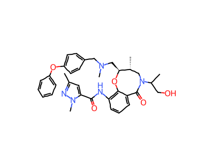 Cc1cc(C(=O)Nc2cccc3c2O[C@@H](CN(C)Cc2ccc(Oc4ccccc4)cc2)[C@H](C)CN(C(C)CO)C3=O)n(C)n1